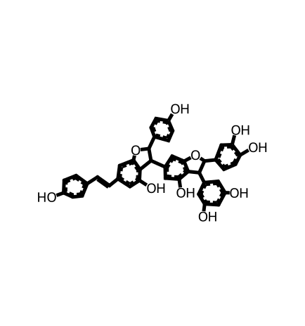 Oc1ccc(C=Cc2cc(O)c3c(c2)OC(c2ccc(O)cc2)C3c2cc(O)c3c(c2)OC(c2ccc(O)c(O)c2)C3c2cc(O)cc(O)c2)cc1